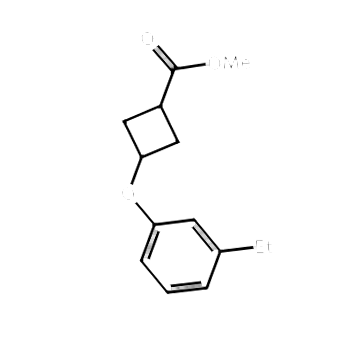 CCc1cccc(OC2CC(C(=O)OC)C2)c1